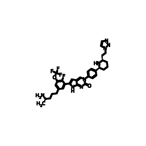 C[C@H](N)CCCc1cc(OC(F)(F)F)c(F)c(-c2cc3cn(-c4ccc([C@@H]5CCC[C@@H](CCn6ccnn6)N5)cc4)c(=O)nc3[nH]2)c1